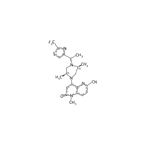 CC(c1csc(C(F)(F)F)n1)N1C[C@H](C)N(c2cc(=O)n(C)c3ccc(C#N)nc23)C[C@@H]1C